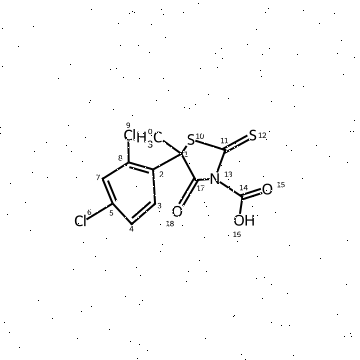 CC1(c2ccc(Cl)cc2Cl)SC(=S)N(C(=O)O)C1=O